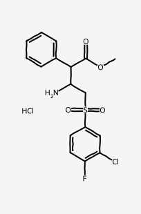 COC(=O)C(c1ccccc1)C(N)CS(=O)(=O)c1ccc(F)c(Cl)c1.Cl